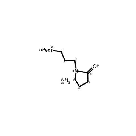 CCCCCCCCN1CCCC1=O.N